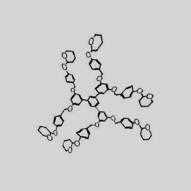 c1cc(OC2CCCCO2)ccc1COc1cc(OCc2ccc(OC3CCCCO3)cc2)cc(-c2cc(-c3cc(OCc4ccc(OC5CCCCO5)cc4)cc(OCc4ccc(OC5CCCCO5)cc4)c3)cc(-c3cc(OCc4ccc(OC5CCCCO5)cc4)cc(OCc4ccc(OC5CCCCO5)cc4)c3)c2)c1